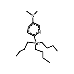 CCC[CH2][Sn]([CH2]CCC)([CH2]CCC)[c]1ccc(N(C)C)cn1